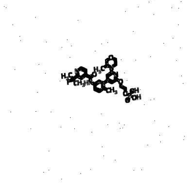 Cc1ccc(NC(=O)c2ccnc(C(C)(C)F)c2)cc1-c1cc(OCCOP(=O)(O)O)nc(N2CCOCC2C)c1